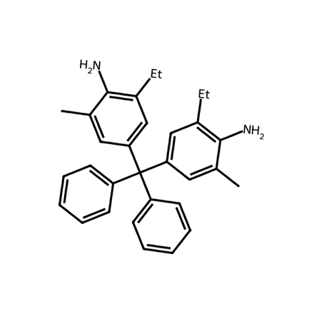 CCc1cc(C(c2ccccc2)(c2ccccc2)c2cc(C)c(N)c(CC)c2)cc(C)c1N